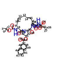 CC(C)(C)OC(=O)NC1CCCCC/C=C/C2CC2(C(=O)NS(=O)(=O)C2CC2)NC(=O)C2CC(OC(=O)c3ccc4ccccc4c3)CN2C1=O